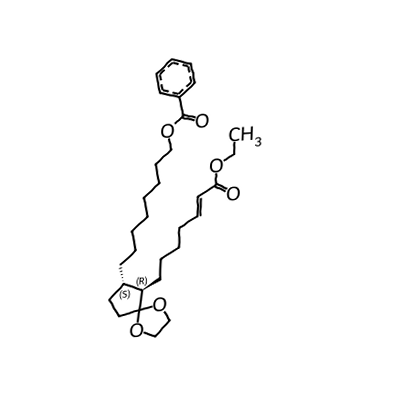 CCOC(=O)C=CCCCC[C@@H]1[C@@H](CCCCCCCCOC(=O)c2ccccc2)CCC12OCCO2